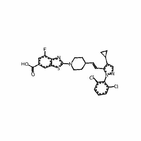 O=C(O)c1cc(F)c2nc(N3CCC(/C=C/c4c(C5CC5)cnn4-c4c(Cl)cccc4Cl)CC3)sc2c1